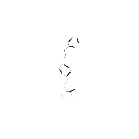 CNC(=O)[C@H](CO)NCc1ccc(OCCc2ccccc2)cc1